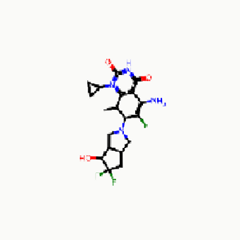 CC1c2c(c(=O)[nH]c(=O)n2C2CC2)C(N)=C(F)C1N1CC2CC(F)(F)C(O)C2C1